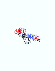 CCC=C(C(=O)N[C@@H]1C(=O)N2C(C(=O)[O-])=C(CO)CS[C@@H]12)c1csc(NC(=O)OC(C)(C)C)n1.[Na+]